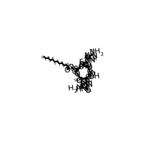 CCCCCCCCCCCC(=O)OCSP1(=O)CO[C@H]2[C@@H](F)[C@H](n3cnc4c(N)ncnc43)O[C@@H]2COP(=O)(O)O[C@@H](n2cnc3c(=O)[nH]c(N)nc32)[C@H](F)[C@H](OC)CO1